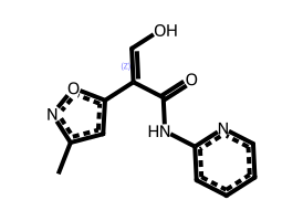 Cc1cc(/C(=C/O)C(=O)Nc2ccccn2)on1